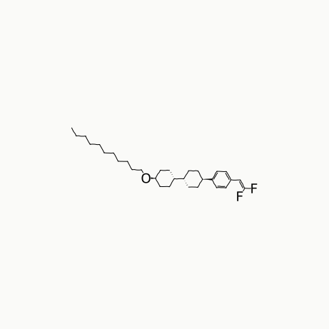 CCCCCCCCCCCO[C@H]1CC[C@H]([C@H]2CC[C@H](c3ccc(C=C(F)F)cc3)CC2)CC1